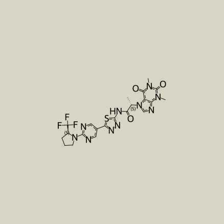 C[C@@H](C(=O)Nc1nnc(-c2cnc(N3CCC[C@H]3C(F)(F)F)nc2)s1)n1cnc2c1c(=O)n(C)c(=O)n2C